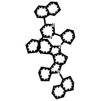 c1ccc(-c2cc(-c3cccc4ccccc34)nc(-c3ccccc3-n3c4ccccc4c4c5c6ccccc6n(-c6cccc7ccccc67)c5ccc43)n2)cc1